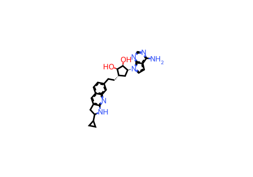 Nc1ncnc2c1ccn2[C@@H]1C[C@H](CCc2ccc3cc4c(nc3c2)NC(C2CC2)C4)[C@@H](O)[C@H]1O